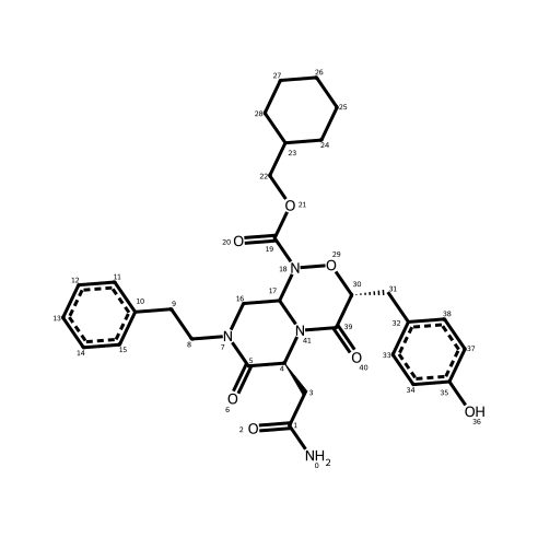 NC(=O)C[C@H]1C(=O)N(CCc2ccccc2)CC2N(C(=O)OCC3CCCCC3)O[C@H](Cc3ccc(O)cc3)C(=O)N21